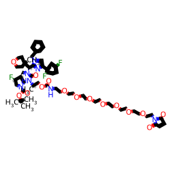 C[C@@H](COC(=O)NCCOCCOCCOCCOCCOCCOCCOCCN1C(=O)C=CC1=O)NC(=O)N(C[C@@H]1CN(C(=O)OC(C)(C)C)C[C@@H]1F)[C@@H](c1nc(-c2cc(F)ccc2F)cn1Cc1ccccc1)C1(C)CCOCC1